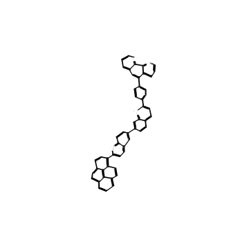 c1cnc2c(c1)cc(-c1ccc(-c3ccc4ccc(-c5ccc6nc(-c7ccc8ccc9cccc%10ccc7c8c9%10)ccc6c5)cc4n3)cc1)c1cccnc12